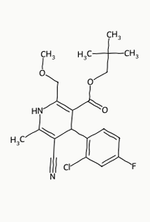 COCC1=C(C(=O)OCC(C)(C)C)C(c2ccc(F)cc2Cl)C(C#N)=C(C)N1